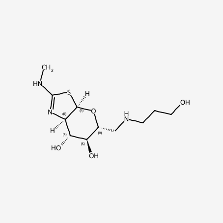 CNC1=N[C@@H]2[C@@H](O)[C@H](O)[C@@H](CNCCCO)O[C@@H]2S1